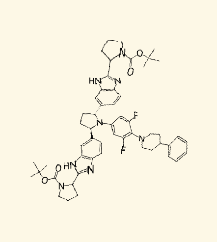 CC(C)(C)OC(=O)N1CCCC1c1nc2ccc([C@H]3CC[C@H](c4ccc5nc(C6CCCN6C(=O)OC(C)(C)C)[nH]c5c4)N3c3cc(F)c(N4CCC(c5ccccc5)CC4)c(F)c3)cc2[nH]1